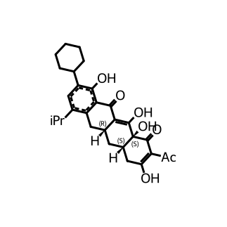 CC(=O)C1=C(O)C[C@@H]2C[C@@H]3Cc4c(C(C)C)cc(C5CCCCC5)c(O)c4C(=O)C3=C(O)[C@]2(O)C1=O